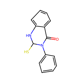 O=C1c2ccccc2NC(S)N1c1ccccc1